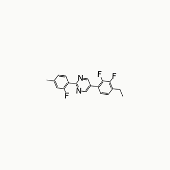 CCc1ccc(-c2cnc(-c3ccc(C)cc3F)nc2)c(F)c1F